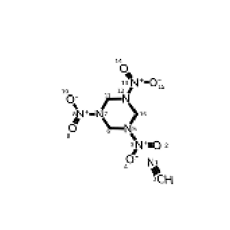 C#N.O=[N+]([O-])N1CN([N+](=O)[O-])CN([N+](=O)[O-])C1